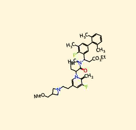 C=C1C(F)=CC(CCN2CC(COC)C2)=CN1C(CC(C)C)C(=O)[N+](=C)C(CC(=O)OCC)c1cc(-c2c(C)cccc2C)cc(C)c1F